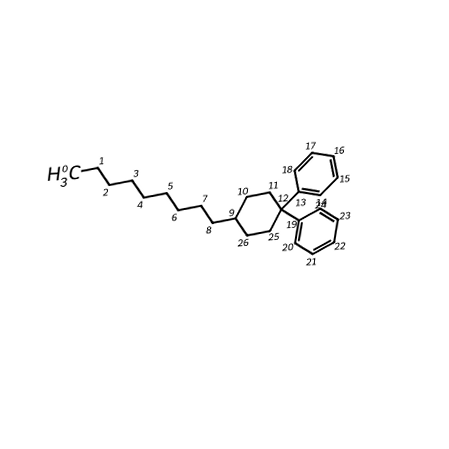 CCCCCCCCCC1CCC(c2ccccc2)(c2ccccc2)CC1